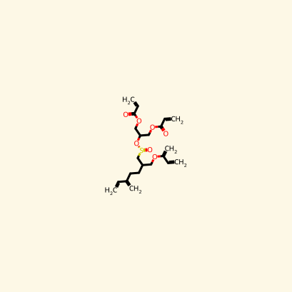 C=CC(=C)CCC(COC(=C)C=C)CS(=O)OC(COC(=O)C=C)COC(=O)C=C